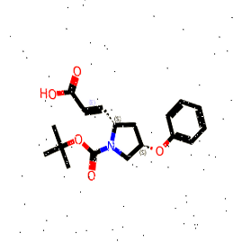 CC(C)(C)OC(=O)N1C[C@@H](Oc2ccccc2)C[C@H]1/C=C/C(=O)O